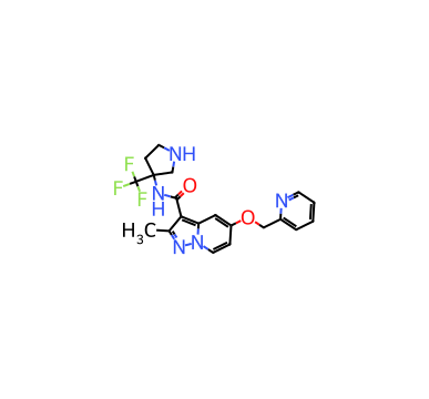 Cc1nn2ccc(OCc3ccccn3)cc2c1C(=O)NC1(C(F)(F)F)CCNC1